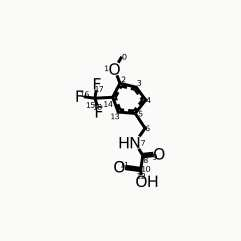 COc1ccc(CNC(=O)C(=O)O)cc1C(F)(F)F